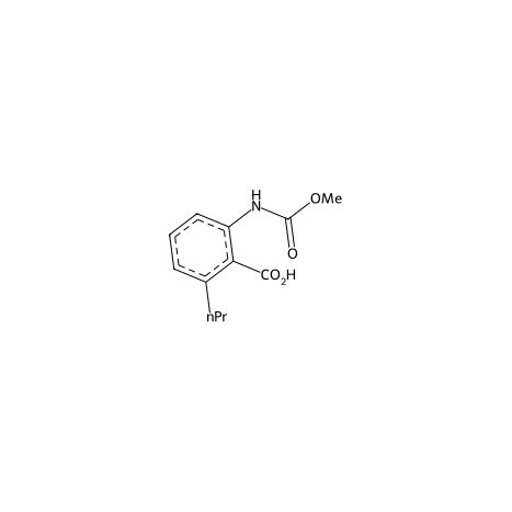 CCCc1cccc(NC(=O)OC)c1C(=O)O